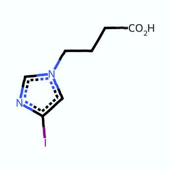 O=C(O)CCCn1cnc(I)c1